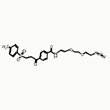 Cc1ccc(S(=O)(=O)CCC(=O)c2ccc(C(=O)NCCOCCOCCN=[N+]=[N-])cc2)cc1